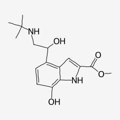 COC(=O)c1cc2c(C(O)CNC(C)(C)C)ccc(O)c2[nH]1